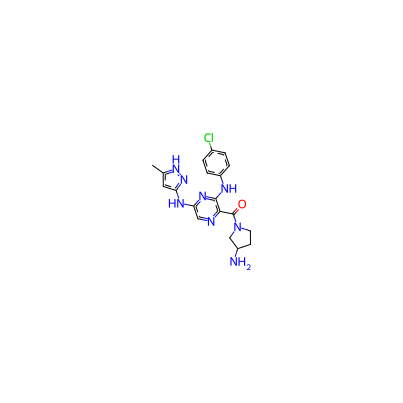 Cc1cc(Nc2cnc(C(=O)N3CCC(N)C3)c(Nc3ccc(Cl)cc3)n2)n[nH]1